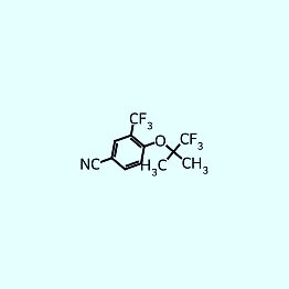 CC(C)(Oc1ccc(C#N)cc1C(F)(F)F)C(F)(F)F